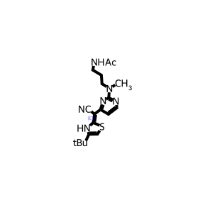 CC(=O)NCCCN(C)c1nccc(/C(C#N)=C2/NC(C(C)(C)C)=CS2)n1